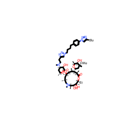 CC[C@H]1OC(=O)[C@H](C)[C@@H](C2C[C@@](C)(OC)[C@@H](O)[C@H](C)O2)[C@H](C)[C@@H](O[C@@H]2O[C@H](C)C[C@H](N(C)CCc3cn(CCCCc4ccc(-n5cc(C(C)(C)C)nn5)cc4)nn3)[C@H]2O)[C@](C)(O)C[C@@H](C)CN(C)[C@H](C)[C@@H](O)[C@]1(C)O